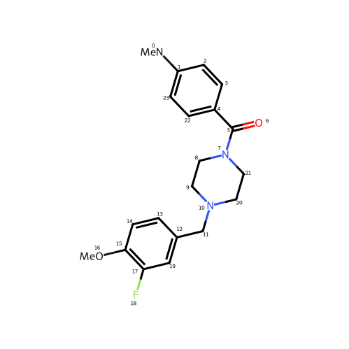 CNc1ccc(C(=O)N2CCN(Cc3ccc(OC)c(F)c3)CC2)cc1